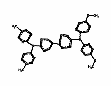 COc1ccc(N(c2ccc(-c3ccc(N(c4ccc(C)cn4)c4ccc(C)cn4)cc3)cc2)c2ccc(OC)cn2)nc1